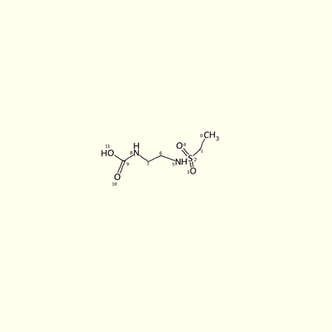 CCS(=O)(=O)NCCNC(=O)O